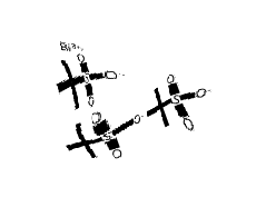 CC(C)(C)S(=O)(=O)[O-].CC(C)(C)S(=O)(=O)[O-].CC(C)(C)S(=O)(=O)[O-].[Bi+3]